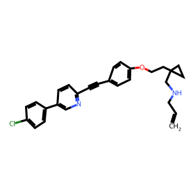 C=CCNCC1(CCOc2ccc(C#Cc3ccc(-c4ccc(Cl)cc4)cn3)cc2)CC1